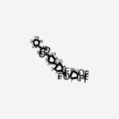 FC(F)(F)Oc1ccc(OC(F)(F)c2ccc(-c3ccc(C4OCC(C5CCCC5)CO4)cc3)cc2)cc1